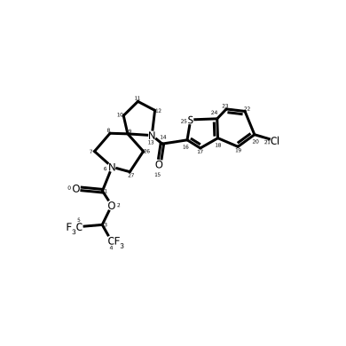 O=C(OC(C(F)(F)F)C(F)(F)F)N1CCC2(CCCN2C(=O)c2cc3cc(Cl)ccc3s2)CC1